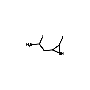 NC(I)CC1NC1I